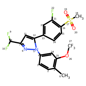 Cc1ccc(-n2nc(C(F)F)cc2-c2ccc(S(C)(=O)=O)c(F)c2)cc1OC(F)(F)F